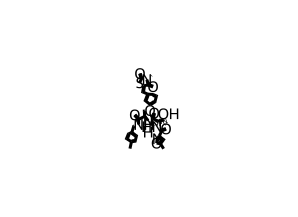 Cc1ccc(CNC(=O)C(COc2cccc(C=C3SC(=O)N(C)C3=O)c2)NC(=O)[C@@H](NC(=O)c2cc(C)on2)[C@@H](C)O)cc1